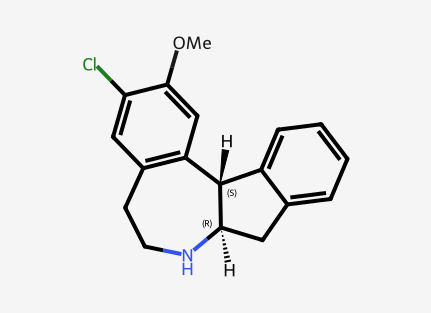 COc1cc2c(cc1Cl)CCN[C@@H]1Cc3ccccc3[C@@H]21